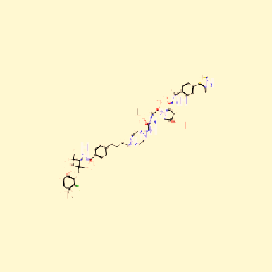 Cc1ncsc1-c1ccc([C@H](C)NC(=O)[C@@H]2C[C@@H](O)CN2C(=O)[C@@H](NC(=O)CN2CCN(CCCCc3ccc(C(=O)NC4C(C)(C)C(Oc5ccc(C#N)c(Cl)c5)C4(C)C)cc3)CC2)C(C)(C)C)cc1